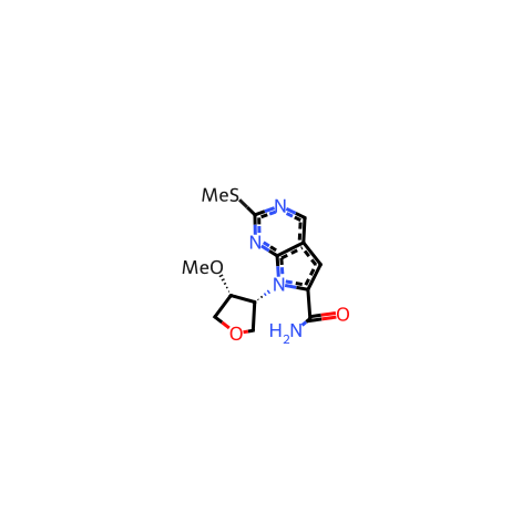 CO[C@H]1COC[C@H]1n1c(C(N)=O)cc2cnc(SC)nc21